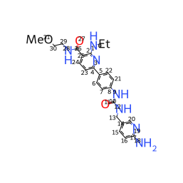 CCNc1nc(-c2ccc(NC(=O)NCc3ccc(N)nc3)cc2)ccc1C(=O)NCCOC